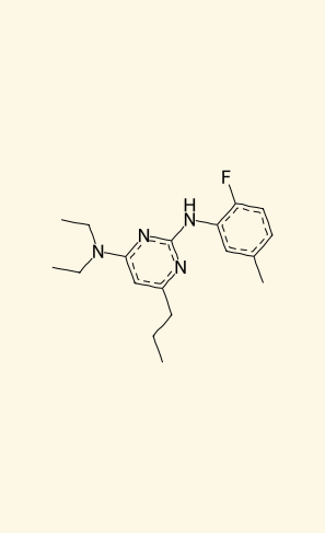 CCCc1cc(N(CC)CC)nc(Nc2cc(C)ccc2F)n1